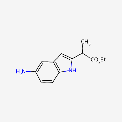 CCOC(=O)C(C)c1cc2cc(N)ccc2[nH]1